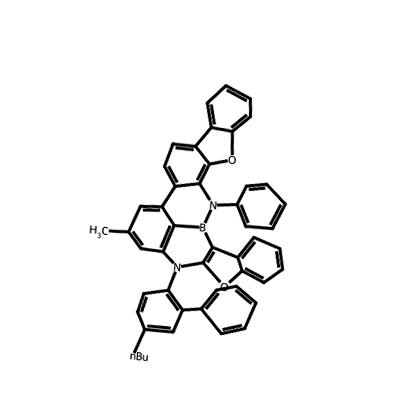 CCCCc1ccc(N2c3cc(C)cc4c3B(c3c2oc2ccccc32)N(c2ccccc2)c2c-4ccc3c2oc2ccccc23)c(-c2ccccc2)c1